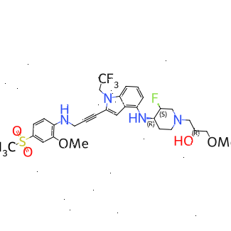 COC[C@H](O)CN1CC[C@@H](Nc2cccc3c2cc(C#CCNc2ccc(S(C)(=O)=O)cc2OC)n3CC(F)(F)F)[C@@H](F)C1